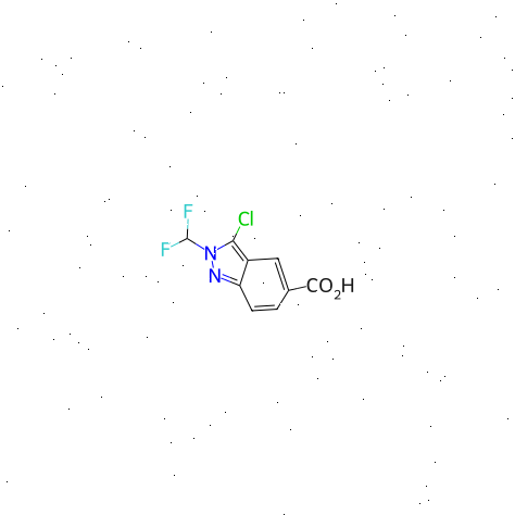 O=C(O)c1ccc2nn(C(F)F)c(Cl)c2c1